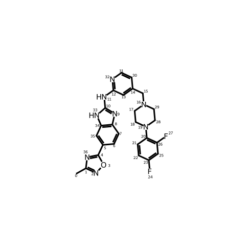 Cc1noc(-c2ccc3nc(Nc4cc(CN5CCN(c6ccc(F)cc6F)CC5)ccn4)[nH]c3c2)n1